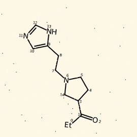 CCC(=O)C1CCN(CCc2cnc[nH]2)C1